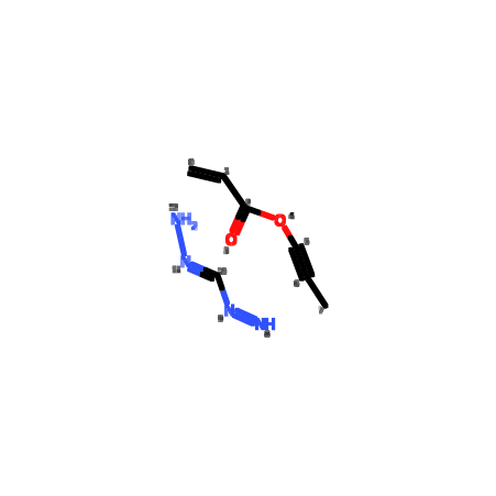 C=CC(=O)OC#CC.N=NC=NN